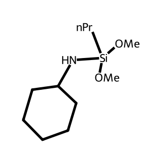 CCC[Si](NC1CCCCC1)(OC)OC